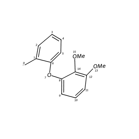 [CH2]c1ccccc1Oc1cccc(OC)c1OC